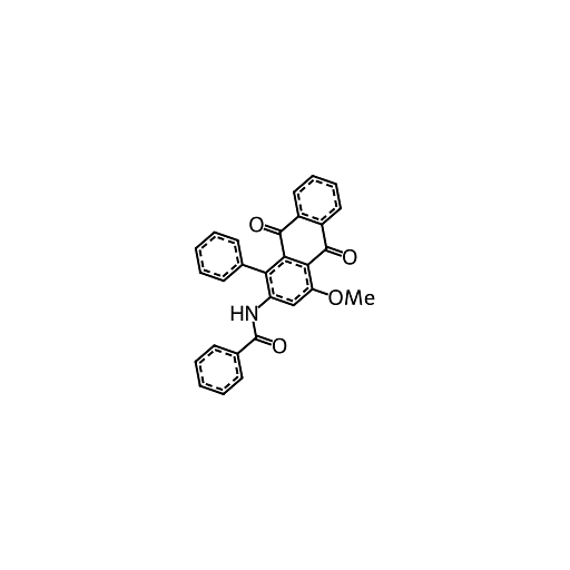 COc1cc(NC(=O)c2ccccc2)c(-c2ccccc2)c2c1C(=O)c1ccccc1C2=O